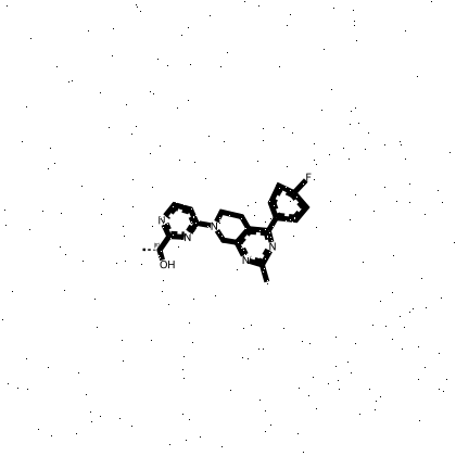 Cc1nc2c(c(-c3ccc(F)cc3)n1)CCN(c1ccnc([C@@H](C)O)n1)C2